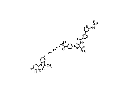 CN(CCCCOCCCCc1ccc2c(c1)n(C)c(=O)n2C1CCC(=O)NC1=O)C(=O)c1ccc(-n2cc(NC(=O)c3coc(-c4ccnc(NCC(F)(F)F)c4)n3)c(C(N)=O)n2)cc1